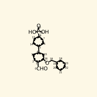 O=Cc1ccc(-c2ccc(P(=O)(O)O)cc2)cc1OCc1ccccc1